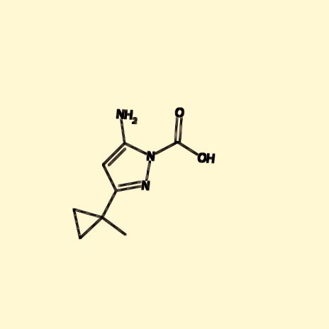 CC1(c2cc(N)n(C(=O)O)n2)CC1